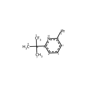 CC(C)c1cccc(C(C)(C)C(F)(F)F)n1